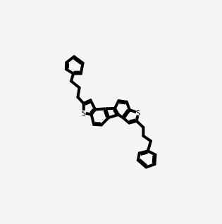 c1ccc(CCCc2cc3c4c(ccc3s2)-c2c-4ccc3sc(CCCc4ccccc4)cc23)cc1